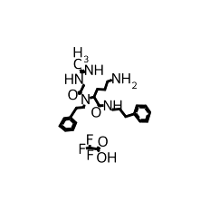 CC(=N)NCC(=O)N(CCc1ccccc1)C(CCCN)C(=O)NCCCc1ccccc1.O=C(O)C(F)(F)F